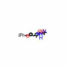 Cc1noc(NC(=O)N2CCC(=Cc3cccc(OCCC(C)C)c3)C(C)C2)c1C